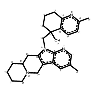 Cc1cnc2c(c1)c1c(n2CC2(O)CCCc3nc(C)ccc32)CC2CCCCN2C1